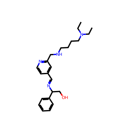 CCN(CC)CCCCNCc1cc(C=NC(CO)c2ccccc2)ccn1